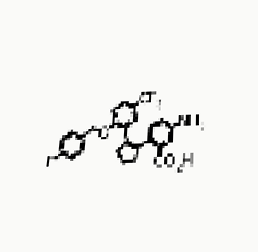 Nc1ccc(C2=C(c3cc(C(F)(F)F)ccc3OCc3ccc(F)cc3)CCC2)c(C(=O)O)c1